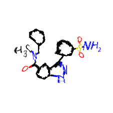 CN(Cc1ccccc1)C(=O)c1ccc2[nH]nc(-c3cccc(S(N)(=O)=O)c3)c2c1